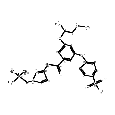 COC[C@H](C)Oc1cc(Oc2ccc(S(C)(=O)=O)cc2)cc(C(=O)Nc2ccn(C[PH](C)(C)O)n2)c1